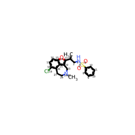 CC(CNS(=O)(=O)c1ccccc1)c1oc2ccc(Cl)c3c2c1CN(C)CC3